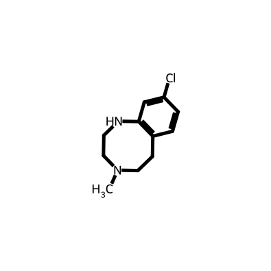 CN1CCNc2cc(Cl)ccc2CC1